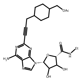 CCNC(=O)[C@H]1O[C@@H](n2cnc3c(N)nc(C#CCC4CCC(COC(C)=O)CC4)nc32)C(O)C1O